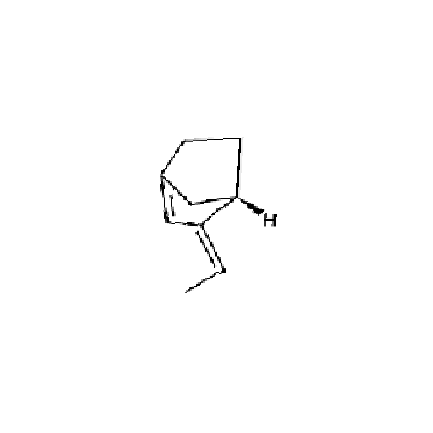 C/C=C1\C=C2CC[C@H]1C2